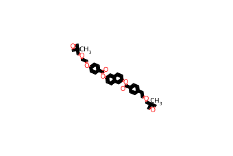 CC1(COCCOc2ccc(C(=O)Oc3ccc4cc(OC(=O)c5ccc(CCOCC6(C)COC6)cc5)ccc4c3)cc2)COC1